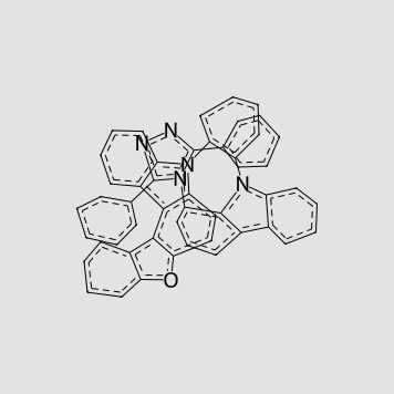 c1ccc(-c2nnc(-c3ccccc3)n2-c2cccc3c4ccccc4n(-c4ccccc4-n4c5ccccc5c5c6c(ccc54)oc4ccccc46)c23)cc1